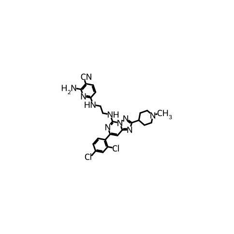 CN1CCC(c2nc3cc(-c4ccc(Cl)cc4Cl)nc(NCCNc4ccc(C#N)c(N)n4)n3n2)CC1